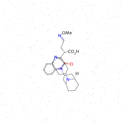 CO/N=C/CC(C(=O)O)c1nc2ccccc2n(C2CC3CCC[C@H](C2)N3C2CC3CCCC(C3)C2)c1=O